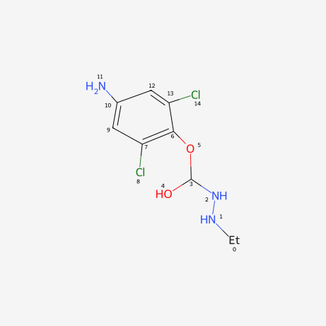 CCNNC(O)Oc1c(Cl)cc(N)cc1Cl